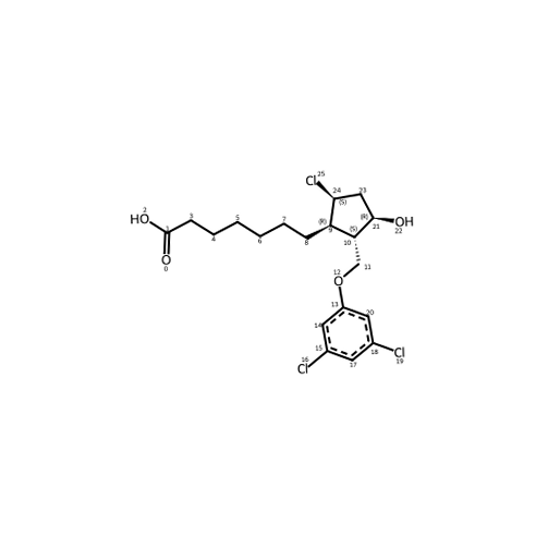 O=C(O)CCCCCC[C@@H]1[C@@H](COc2cc(Cl)cc(Cl)c2)[C@H](O)C[C@@H]1Cl